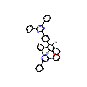 N#Cc1c(-c2ccc(-c3nc(-c4ccccc4)nc(-c4ccccc4)n3)cc2)c(-c2ccccc2-c2nc(-c3ccccc3)nc(-c3ccccc3)n2)c(C#N)c2ccccc12